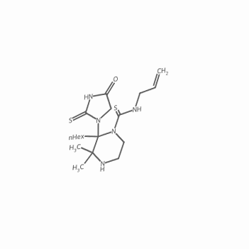 C=CCNC(=S)N1CCNC(C)(C)C1(CCCCCC)N1CC(=O)NC1=S